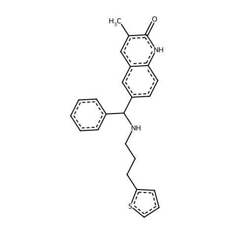 Cc1cc2cc(C(NCCCc3cccs3)c3ccccc3)ccc2[nH]c1=O